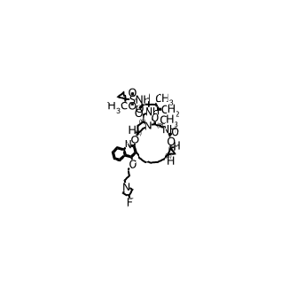 C=CC(C)C(I)(NC(=O)[C@@H]1C[C@@H]2CN1C(=O)[C@H](C)NC(=O)O[C@@H]1C[C@H]1CCCCCc1c(nc3ccccc3c1OCCCN1CC(F)C1)O2)C(=O)NS(=O)(=O)C1(C)CC1